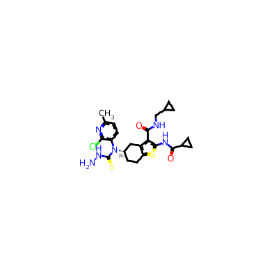 Cc1ccc(N(C(=S)NN)[C@H]2CCc3sc(NC(=O)C4CC4)c(C(=O)NCC4CC4)c3C2)c(Cl)n1